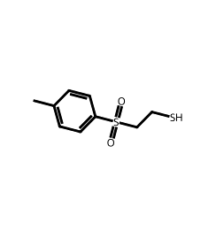 Cc1ccc(S(=O)(=O)CCS)cc1